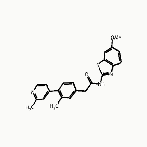 COc1ccc2nc(NC(=O)Cc3ccc(-c4ccnc(C)c4)c(C)c3)sc2c1